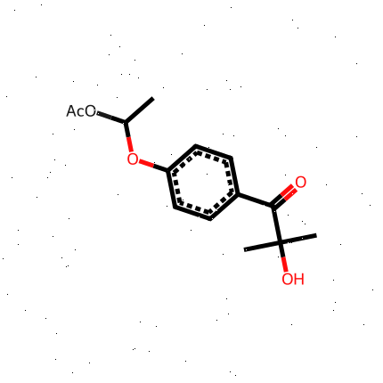 CC(=O)OC(C)Oc1ccc(C(=O)C(C)(C)O)cc1